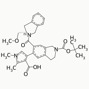 COC[C@@H]1Cc2ccccc2CN1C(=O)c1cc2c(cc1-c1cn(C)c(C)c1C(=O)O)CCN(C(=O)OC(C)(C)C)C2